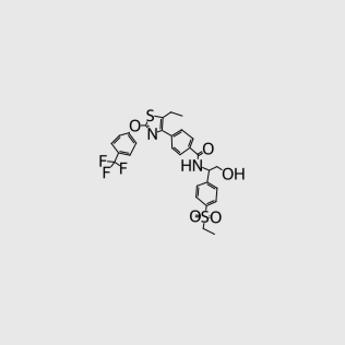 CCc1sc(Oc2ccc(C(F)(F)F)cc2)nc1-c1ccc(C(=O)NC(CO)c2ccc(S(=O)(=O)CC)cc2)cc1